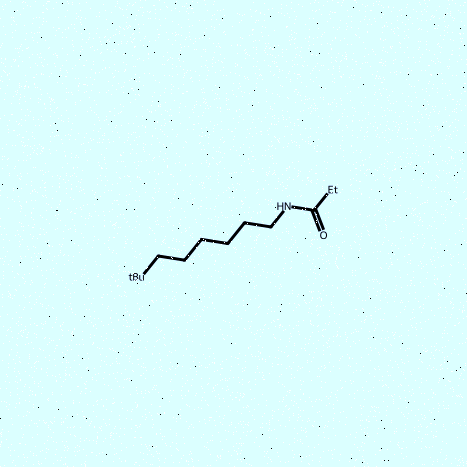 CCC(=O)NCCCCCCC(C)(C)C